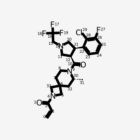 C=CC(=O)N1CC2(CCN(C(=O)[C@H]3CN(CC(F)(F)F)C[C@H]3c3cccc(F)c3Cl)[C@H](C)C2)C1